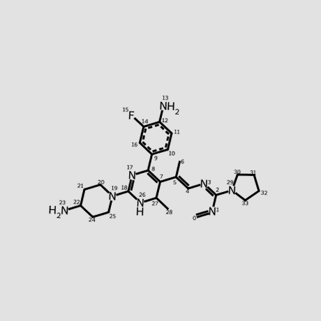 C=N/C(=N\C=C(/C)C1=C(c2ccc(N)c(F)c2)N=C(N2CCC(N)CC2)NC1C)N1CCCC1